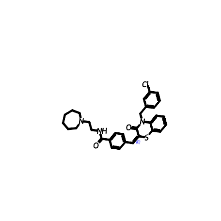 O=C(NCCN1CCCCCC1)c1ccc(/C=C2/Sc3ccccc3N(Cc3cccc(Cl)c3)C2=O)cc1